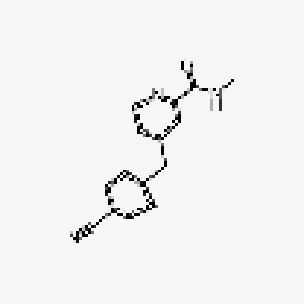 CNC(=O)c1cc(Cc2ccc(C#N)cc2)ccn1